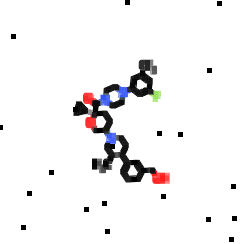 C[C@H]1CN([C@@H]2CC[C@@](C(=O)N3CCN(c4cc(F)cc(C(F)(F)F)c4)CC3)(C3CC3)OC2)CCC1c1cccc(CO)c1